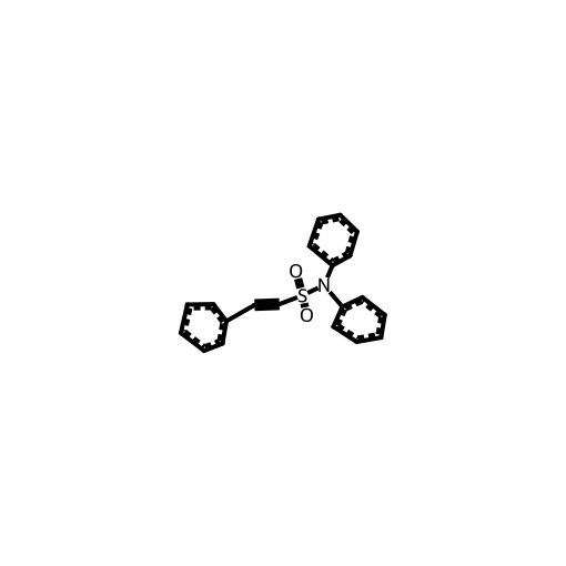 O=S(=O)(C#Cc1ccccc1)N(c1ccccc1)c1ccccc1